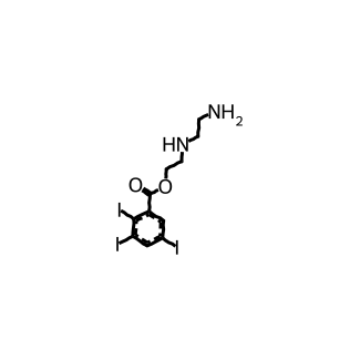 NCCNCCOC(=O)c1cc(I)cc(I)c1I